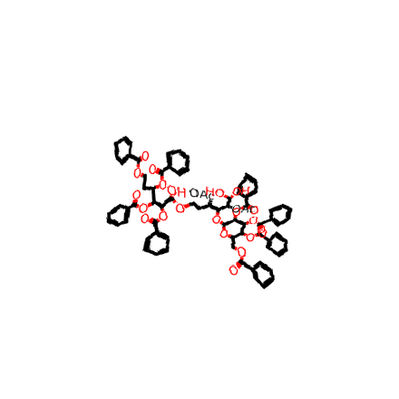 CC(=O)OC(CCOC(O)C(OC(=O)c1ccccc1)C(OC(=O)c1ccccc1)C(CCOC(=O)c1ccccc1)OC(=O)c1ccccc1)C(OC1OC(COC(=O)c2ccccc2)C(OC(=O)c2ccccc2)C(OC(=O)c2ccccc2)C1OC(=O)c1ccccc1)C(OC(C)=O)C(O)O